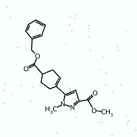 COC(=O)c1cc(C2=CCC(C(=O)OCc3ccccc3)CC2)n(C)n1